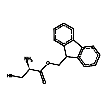 N[C@@H](CS)C(=O)OCC1c2ccccc2-c2ccccc21